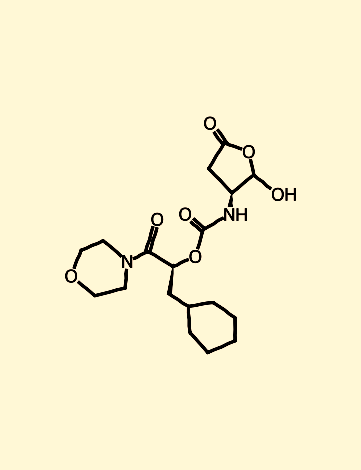 O=C1C[C@H](NC(=O)O[C@@H](CC2CCCCC2)C(=O)N2CCOCC2)C(O)O1